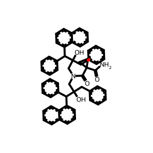 NC(=O)C1(C(=O)N(CC(O)(Cc2ccccc2)C(c2ccccc2)c2cccc3ccccc23)CC(O)(Cc2ccccc2)C(c2ccccc2)c2cccc3ccccc23)CC1